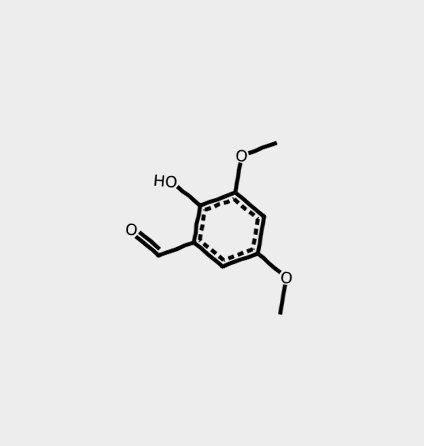 COc1cc(C=O)c(O)c(OC)c1